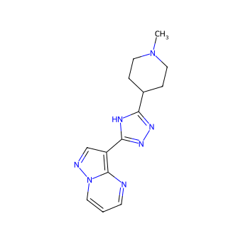 CN1CCC(c2nnc(-c3cnn4cccnc34)[nH]2)CC1